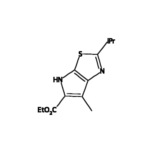 CCOC(=O)c1[nH]c2sc(C(C)C)nc2c1C